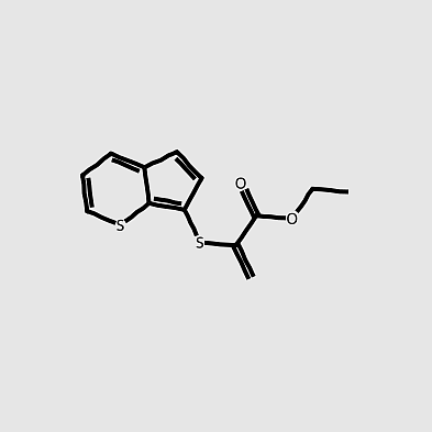 C=C(Sc1ccc2cccsc1-2)C(=O)OCC